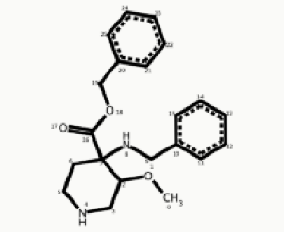 COC1CNCCC1(NCc1ccccc1)C(=O)OCc1ccccc1